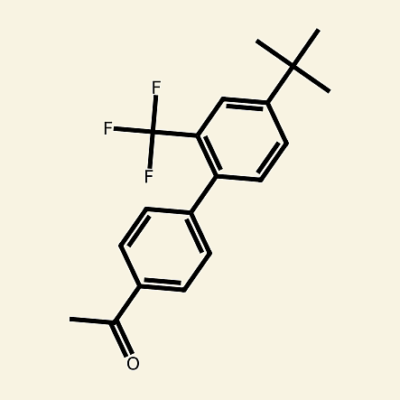 CC(=O)c1ccc(-c2ccc(C(C)(C)C)cc2C(F)(F)F)cc1